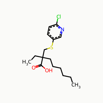 CCCCCCC(CC)(CSc1ccc(Cl)nc1)C(=O)O